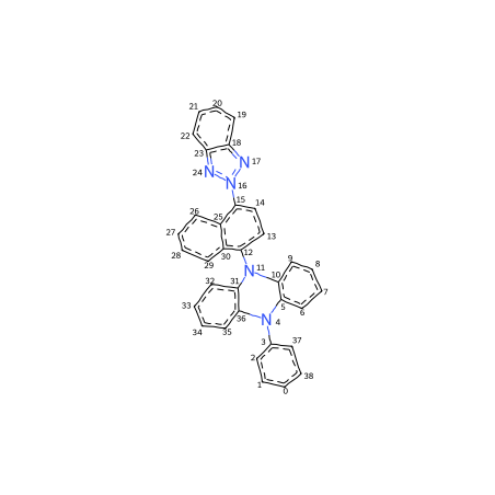 c1ccc(N2c3ccccc3N(c3ccc(-n4nc5ccccc5n4)c4ccccc34)c3ccccc32)cc1